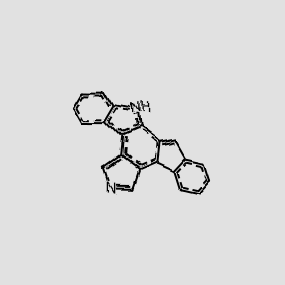 C1=NC=c2c1c1c(c3[nH]c4ccccc4c23)=Cc2ccccc2-1